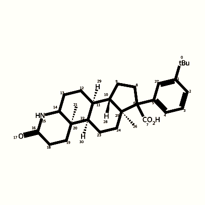 CC(C)(C)c1cccc(C2(C(=O)O)CC[C@H]3[C@@H]4CCC5NC(=O)CC[C@]5(C)[C@@H]4CC[C@@]32C)c1